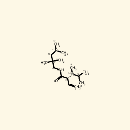 C=C[C@H](C(=O)NCC(C)(C)CN(C)C)N(C)C(C)C